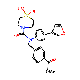 COC(=O)c1ccc(CN(C(=O)N2CCS(O)(O)CC2)c2ccc(-c3ccoc3)cc2)cc1